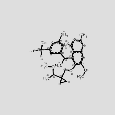 COc1cc2nc(C)nc(N)c2c(C(C)c2cc(N)cc(C(F)(F)F)c2)c1OCC1(C(C)OC)CC1